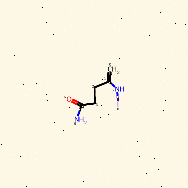 C=C(CCC(N)=O)NI